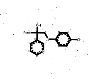 CCCC(C)C(O)(CSc1ccc(Cl)cc1)c1cccnc1